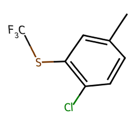 Cc1ccc(Cl)c(SC(F)(F)F)c1